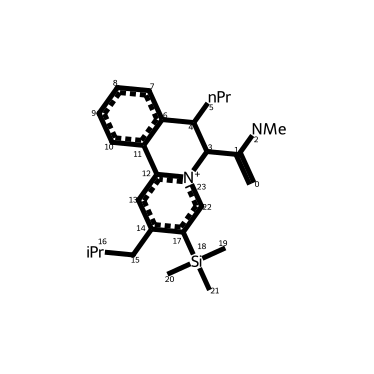 C=C(NC)C1C(CCC)c2ccccc2-c2cc(CC(C)C)c([Si](C)(C)C)c[n+]21